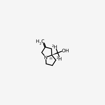 [2H]C([2H])(O)[C@@]12CCCN1CC(=C)C2